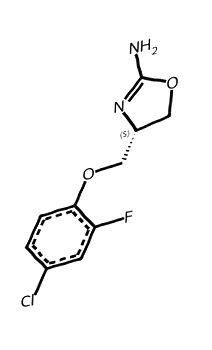 NC1=N[C@@H](COc2ccc(Cl)cc2F)CO1